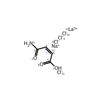 NC(=O)/C=C\C(=O)O.[Cl-].[Cl-].[Cl-].[Cl-].[La+3].[Na+]